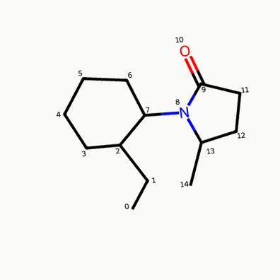 CCC1CCCCC1N1C(=O)CCC1C